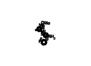 COc1cnc2c(-c3nc4cc(N)c(O[C@@H]5CCCCC(F)(F)C5)cc4s3)cc(C)cc2n1